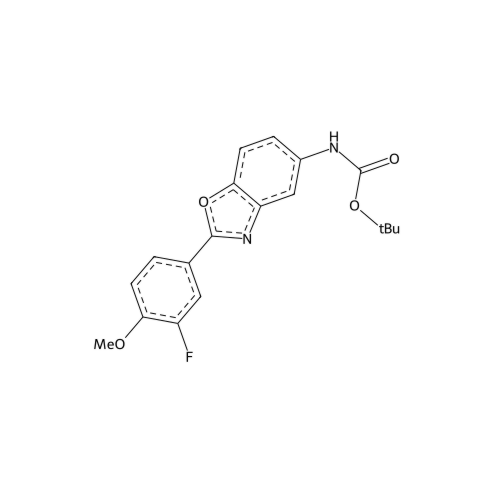 COc1ccc(-c2nc3cc(NC(=O)OC(C)(C)C)ccc3o2)cc1F